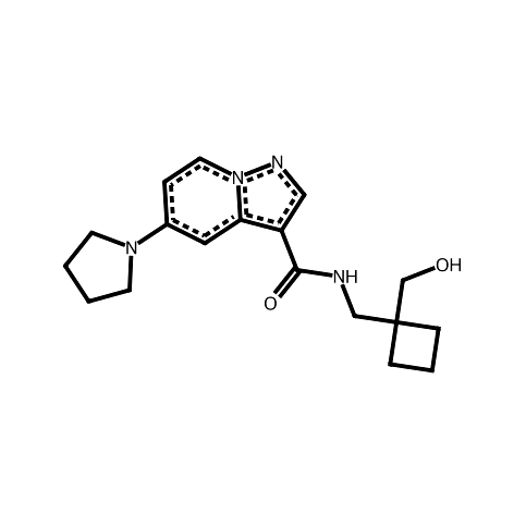 O=C(NCC1(CO)CCC1)c1cnn2ccc(N3CCCC3)cc12